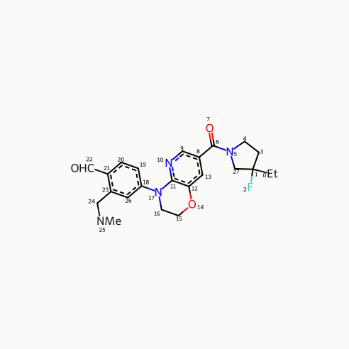 CCC1(F)CCN(C(=O)c2cnc3c(c2)OCCN3c2ccc(C=O)c(CNC)c2)C1